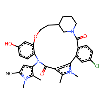 Cc1c(N2C(=O)c3cc(n(C)c3C)-c3cc(Cl)ccc3C(=O)N3CCCC(CCOc4cc(O)ccc42)C3)cc(C#N)n1C